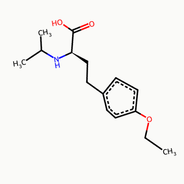 CCOc1ccc(CC[C@@H](NC(C)C)C(=O)O)cc1